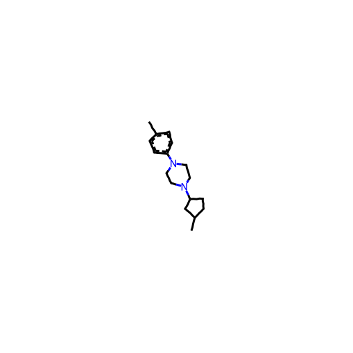 Cc1ccc(N2CCN(C3CCC(C)C3)CC2)cc1